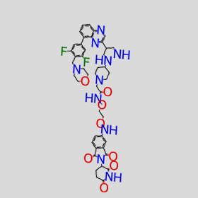 N=CC(CNC1CCN(CC(=O)NOCCONc2ccc3c(c2)C(=O)N(C2CCC(=O)NC2=O)C3=O)CC1)c1cnc2cccc(-c3cc(F)c(CN4CCOCC4)c(F)c3)c2n1